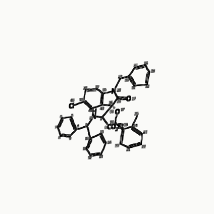 CCOC(=O)C(NC(c1ccccc1)c1ccccc1)[C@]1(OCc2ccccc2C)C(=O)N(Cc2ccccc2)c2ccc(Cl)cc21